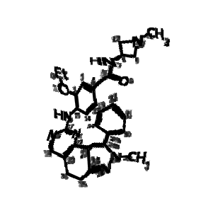 CCOc1cc(C(=O)NC2CN(C)C2)ccc1Nc1ncc2c(n1)-c1c(nn(C)c1-c1ccccc1)CC2